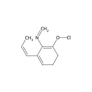 C=NC1=C(OCl)CCC=C1/C=C\C